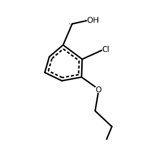 CCCOc1cccc([CH]O)c1Cl